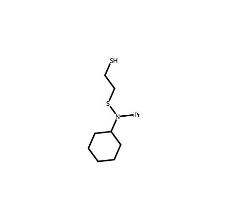 CC(C)N(SCCS)C1CCCCC1